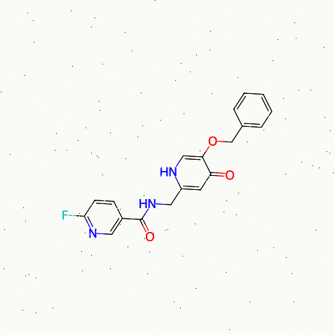 O=C(NCc1cc(=O)c(OCc2ccccc2)c[nH]1)c1ccc(F)nc1